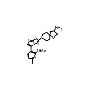 COc1nc(C)ccc1-c1cnc2sc(N3CCC4(CC3)CC(N)CO4)nn12